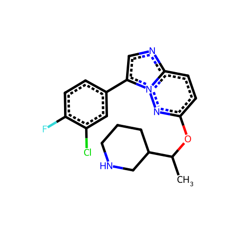 CC(Oc1ccc2ncc(-c3ccc(F)c(Cl)c3)n2n1)C1CCCNC1